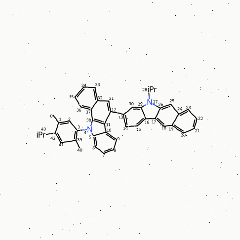 Cc1cc(-n2c3ccccc3c3c(-c4ccc5c6cc7ccccc7cc6n(C(C)C)c5c4)cc4ccccc4c32)c(C)cc1C(C)C